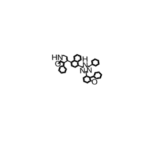 C1=C(c2ccc(C3=NC(c4cccc5oc6ccccc6c45)=NC(c4ccccc4)N3)c3ccccc23)c2c(oc3ccccc23)NC1